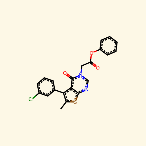 Cc1sc2ncn(CC(=O)Oc3ccccc3)c(=O)c2c1-c1cccc(Cl)c1